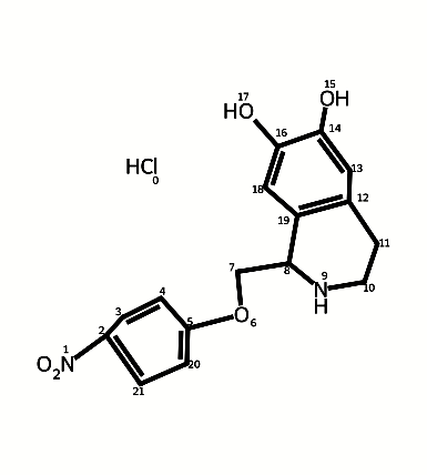 Cl.O=[N+]([O-])c1ccc(OCC2NCCc3cc(O)c(O)cc32)cc1